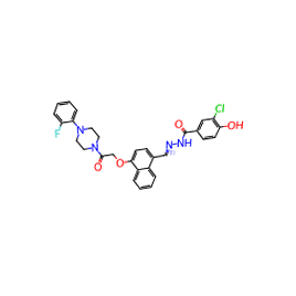 O=C(N/N=C/c1ccc(OCC(=O)N2CCN(c3ccccc3F)CC2)c2ccccc12)c1ccc(O)c(Cl)c1